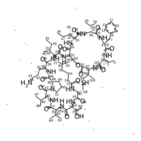 C/C=C1\NC(=O)[C@H](Cc2ccccc2)NC(=O)[C@@H](C(C)C)NC(=O)[C@@H]([C@@H](C)CC)NC(=O)[C@H](NC(=O)[C@H](NC(=O)[C@H](CCCN)NC(=O)[C@H]2CCCN2C(=O)[C@H](NC(=O)[C@@H](NC(=O)[C@@H](NC(=O)[C@@H](CS)NC(=O)CCCC(C)C)[C@@H](C)O)C(C)C)C(C)C)[C@@H](C)CC)[C@@H](C)OC(=O)[C@H](C(C)C)NC1=O